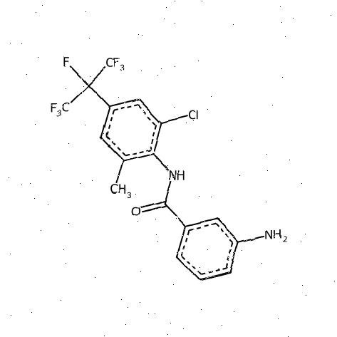 Cc1cc(C(F)(C(F)(F)F)C(F)(F)F)cc(Cl)c1NC(=O)c1cccc(N)c1